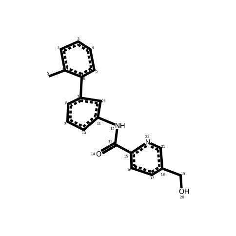 Cc1ccccc1-c1cccc(NC(=O)c2ccc(CO)cn2)c1